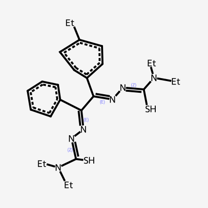 CCc1ccc(C(=N\N=C(/S)N(CC)CC)/C(=N/N=C(\S)N(CC)CC)c2ccccc2)cc1